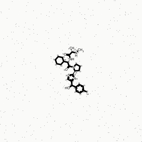 CN[C@@H](C)C(=O)N[C@H](C(=O)N1CCC[C@H]1c1nc(C(O)c2ccc(F)cc2)cs1)C1CCCCC1